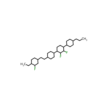 CCCC1CCC(C2CCC(C3CCC(CCC4CCC(CC)C(F)C4)CC3)C(F)C2F)CC1